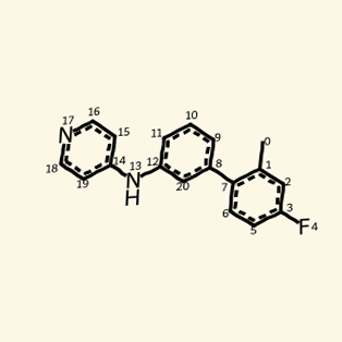 Cc1cc(F)ccc1-c1cccc(Nc2ccncc2)c1